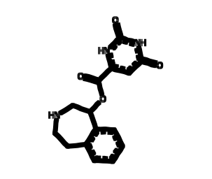 O=C(OC1CNCCc2ccccc21)c1cc(=O)[nH]c(=O)[nH]1